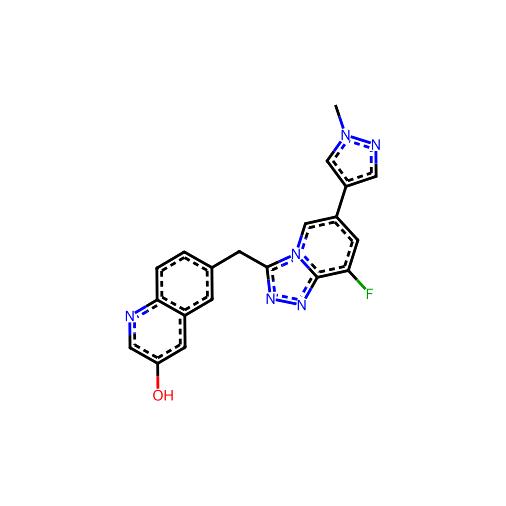 Cn1cc(-c2cc(F)c3nnc(Cc4ccc5ncc(O)cc5c4)n3c2)cn1